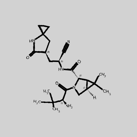 CC(C)(C)[C@H](N)C(=O)N1C[C@H]2C([C@H]1C(=O)N[C@H](C#N)C[C@@H]1CC3(CC3)NC1=O)C2(C)C